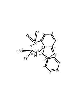 CCCC[C@@]1(CC)CS(=O)(=O)C2=CC=CC3=CNCC32[C@H](c2ccccc2)N1